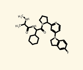 CNC(C)C(=O)NC(C(=O)N1CCCC1c1cc(N2CCc3cc(F)ccc32)ccn1)C1CCCCC1